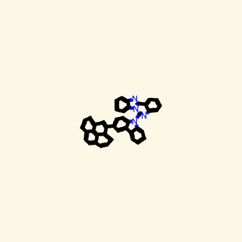 c1cc2ccc3cccc4c(-c5ccc6c(c5)c5ccccc5n6-c5nc6ccccc6c6nc7ccccc7n56)cc(c1)c2c34